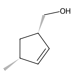 C[C@H]1C=C[C@@H](CO)C1